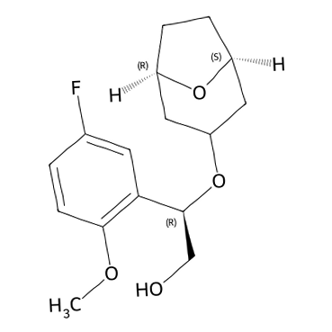 COc1ccc(F)cc1[C@H](CO)OC1C[C@H]2CC[C@@H](C1)O2